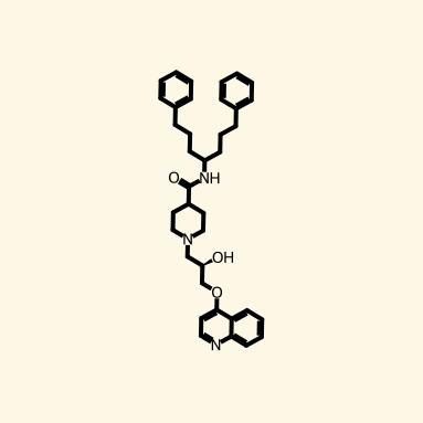 O=C(NC(CCCc1ccccc1)CCCc1ccccc1)C1CCN(C[C@@H](O)COc2ccnc3ccccc23)CC1